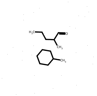 CC1CCCCC1.CCCC(C)C=O